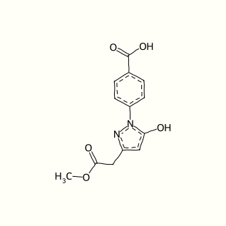 COC(=O)Cc1cc(O)n(-c2ccc(C(=O)O)cc2)n1